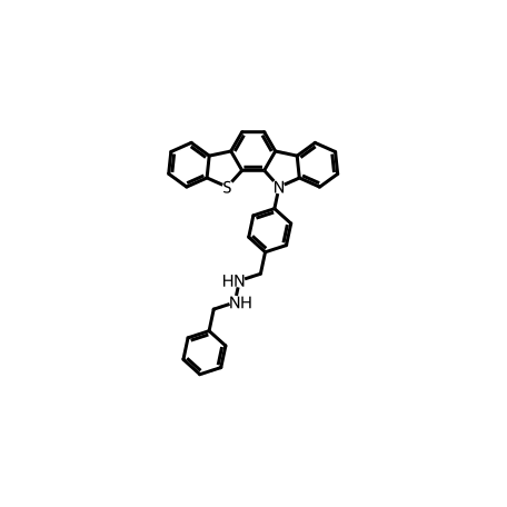 c1ccc(CNNCc2ccc(-n3c4ccccc4c4ccc5c6ccccc6sc5c43)cc2)cc1